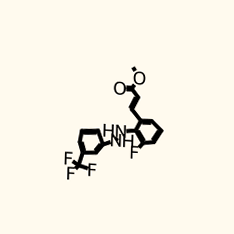 COC(=O)/C=C/c1cccc(F)c1NNc1cccc(C(F)(F)F)c1